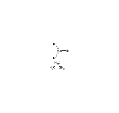 O.O.O.[Br][Ga]([Br])[Br]